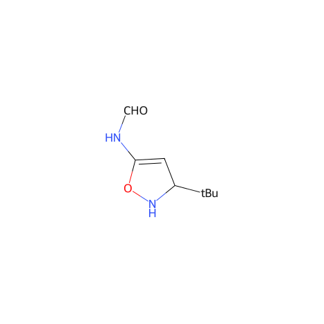 CC(C)(C)C1C=C(NC=O)ON1